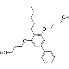 CCCCCc1c(OCCCO)cc(-c2ccccc2)cc1OCCCO